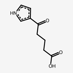 O=C(O)CCCC(=O)c1cc[nH]c1